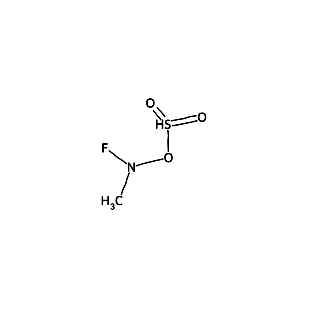 CN(F)O[SH](=O)=O